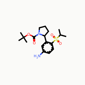 CC(C)S(=O)(=O)c1ccc(N)cc1C1CCCN1C(=O)OC(C)(C)C